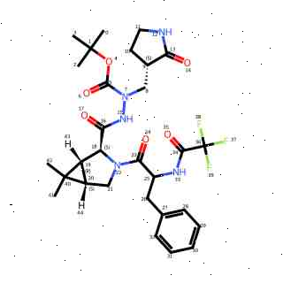 CC(C)(C)OC(=O)N(C[C@@H]1CCNC1=O)NC(=O)[C@@H]1[C@@H]2[C@H](CN1C(=O)C(Cc1ccccc1)NC(=O)C(F)(F)F)C2(C)C